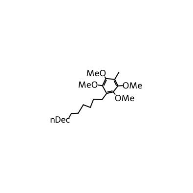 CCCCCCCCCCCCCCCCc1c(OC)c(OC)c(C)c(OC)c1OC